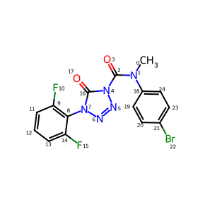 CN(C(=O)n1nnn(-c2c(F)cccc2F)c1=O)c1ccc(Br)cc1